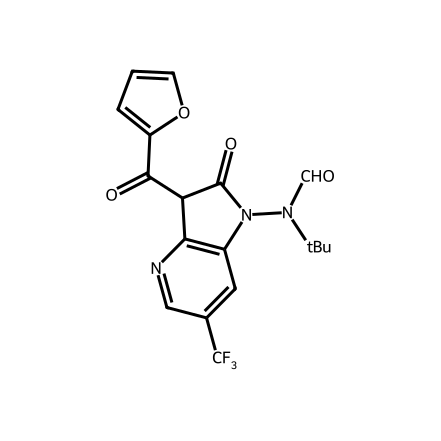 CC(C)(C)N(C=O)N1C(=O)C(C(=O)c2ccco2)c2ncc(C(F)(F)F)cc21